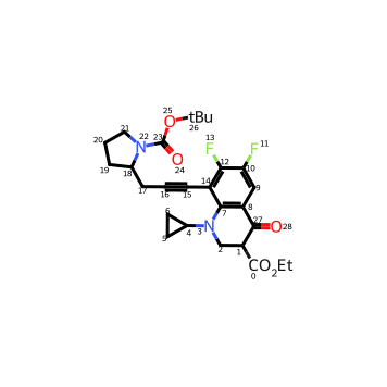 CCOC(=O)C1CN(C2CC2)c2c(cc(F)c(F)c2C#CCC2CCCN2C(=O)OC(C)(C)C)C1=O